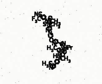 Cc1nccn1-c1ccc([C@H](C)NC(=O)[C@@H]2CC(C)CN2C(=O)[C@@H](C(C)C)n2cc(-c3ccc(OC4CCN(c5ccc(N6C(=S)N(c7ccc(C#N)c(C(F)(F)F)c7)C(=O)C6(C)C)cn5)CC4)nc3)cn2)cc1